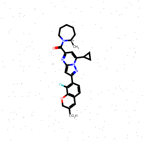 C[C@@H]1CCCCCN1C(=O)c1cc(C2CC2)n2nc(-c3ccc4c(c3F)OCC(C(=O)O)=C4)cc2n1